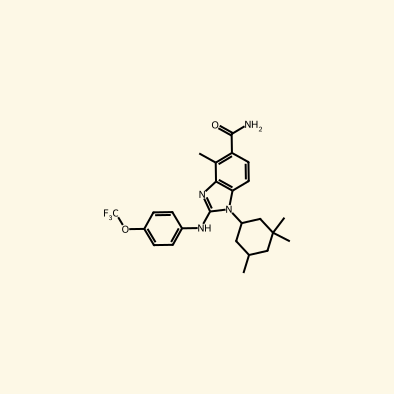 Cc1c(C(N)=O)ccc2c1nc(Nc1ccc(OC(F)(F)F)cc1)n2C1CC(C)CC(C)(C)C1